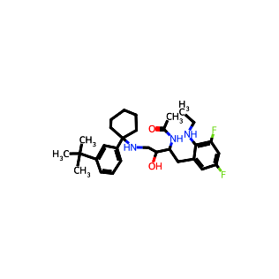 CCNc1c(F)cc(F)cc1CC(NC(C)=O)C(O)CNC1(c2cccc(C(C)(C)C)c2)CCCCC1